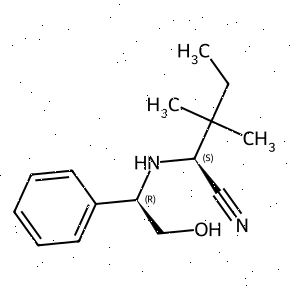 CCC(C)(C)[C@@H](C#N)N[C@@H](CO)c1ccccc1